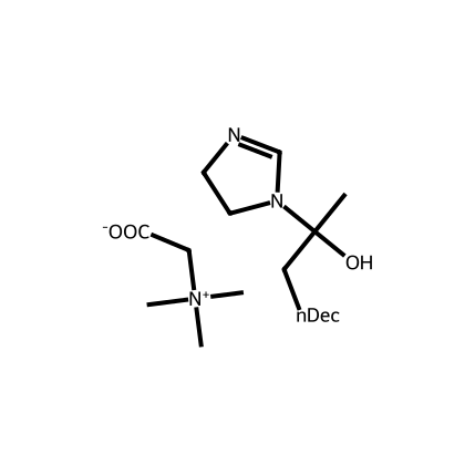 CCCCCCCCCCCC(C)(O)N1C=NCC1.C[N+](C)(C)CC(=O)[O-]